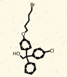 OCC(c1ccccc1)(c1ccc(Cl)cc1)c1ccc(OCCCCCBr)cc1